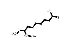 CCCCCCCCCCOC(CCCCCCC(O)CC)OCCCCCCCCCC